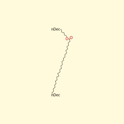 CCCCCCCCCCCCCCCCCCCCCCCCCCCCCCCCCCCCCCC(=O)OCCCCCCCCCCCCCCC